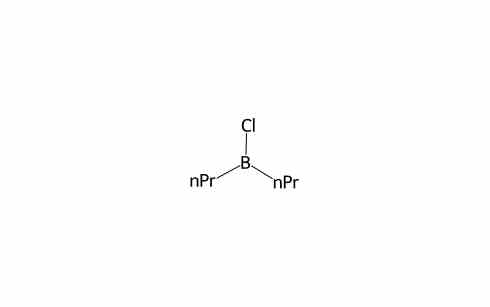 CCCB(Cl)CCC